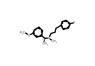 COc1cccc([C@H](C)N(C)CCCc2ccc(F)cc2)c1